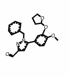 COc1ccc(-c2cc(C=O)nn2Cc2ccccc2)cc1OC1CCCO1